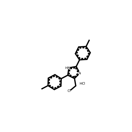 Cc1ccc(-c2nc(CCl)c(-c3ccc(C)cc3)[nH]2)cc1.Cl